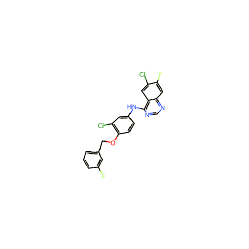 Fc1cccc(COc2ccc(Nc3ncnc4cc(F)c(Cl)cc34)cc2Cl)c1